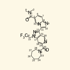 CN(C)C(=O)c1ccc2ncc(-c3nn(CC(F)(F)F)c4cc(C(=O)N5CCCCCC5)ncc34)n2c1